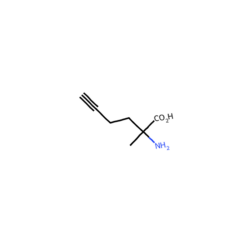 C#CCCC(C)(N)C(=O)O